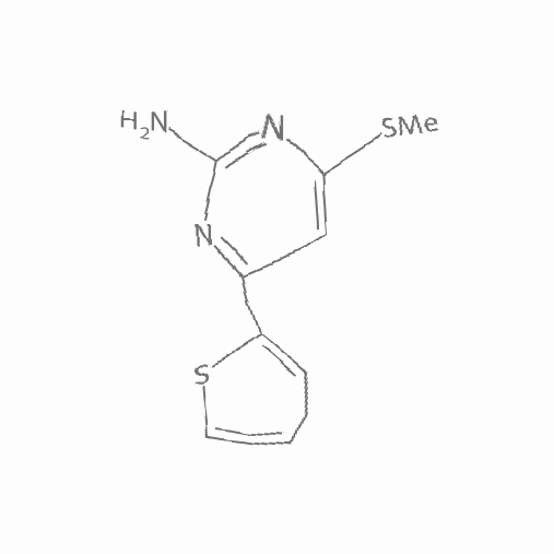 CSc1cc(-c2cccs2)nc(N)n1